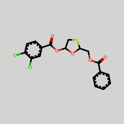 O=C(OCC1OC(OC(=O)c2ccc(Cl)c(Cl)c2)CS1)c1ccccc1